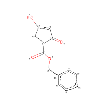 O=C1C=C(O)CC1C(=O)OCc1ccccc1